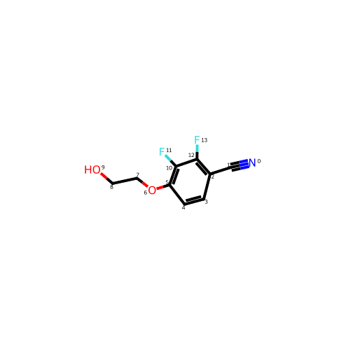 N#Cc1ccc(OCCO)c(F)c1F